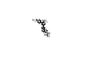 CCNC(=O)N1CC[C@@]2(CCn3nc(-c4cnc(N)c(C5=CCN(C)CC5)c4)cc32)C1